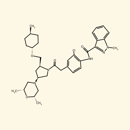 C[C@@H]1CN([C@H]2C[C@@H](CO[C@H]3CC[C@H](C)CC3)N(C(=O)Cc3ccc(NC(=O)c4nn(C)c5ccccc45)c(Cl)c3)C2)C[C@H](C)O1